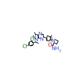 Cc1nn(C(C)c2ccc(Cl)cc2Cl)c2nc(C3=CC[C@H](N4CCCC4C(N)=O)[C@H](C)C3)cnc12